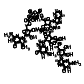 COC1C(COP(=O)(O)OP(=O)(O)OP(=O)(O)OCC2OC(n3cnc4cncnc43)C(OC)C2OP([O-])(=S)OCC2OC(n3cnc4c(=O)[nH]c(N)nc43)C(O)C2OP(=O)(O)OCC2OC(n3cnc4c(=O)[nH]c(N)nc43)C(O)C2O)OC(n2c[n+](C)c3c(=O)[nH]c(N)nc32)C1O